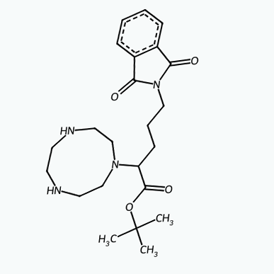 CC(C)(C)OC(=O)C(CCCN1C(=O)c2ccccc2C1=O)N1CCNCCNCC1